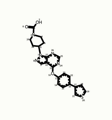 O=C(O)N1CCC(n2ncc3c(Oc4ccc(-c5ccsc5)cc4)ncnc32)CC1